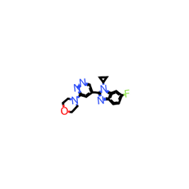 Fc1ccc2nc(-c3cnnc(N4CCOCC4)c3)n(C3CC3)c2c1